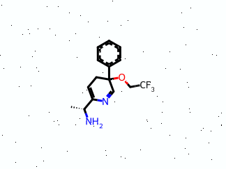 C[C@@H](N)C1=CCC(OCC(F)(F)F)(c2ccccc2)C=N1